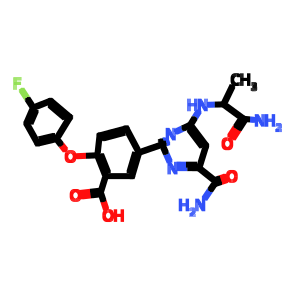 CC(Nc1cc(C(N)=O)nc(-c2ccc(Oc3ccc(F)cc3)c(C(=O)O)c2)n1)C(N)=O